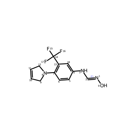 O/N=C/Nc1ccc(N2CC=CC2)c(C(F)(F)F)c1